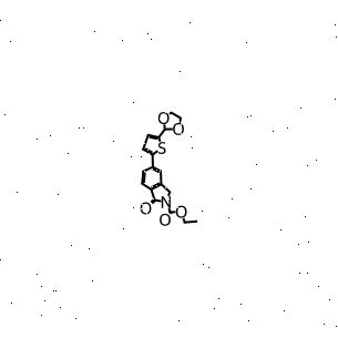 CCOC(=O)N1Cc2cc(-c3ccc(C4OCCO4)s3)ccc2C1=O